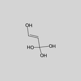 OC=CC(O)(O)O